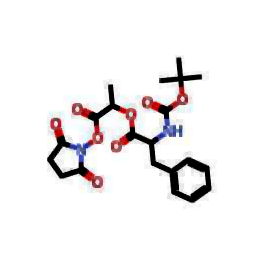 CC(OC(=O)C(Cc1ccccc1)NC(=O)OC(C)(C)C)C(=O)ON1C(=O)CCC1=O